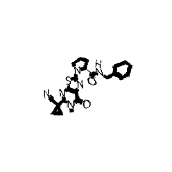 Cn1c(C2(C#N)CC2)nc2sc(N3CCC[C@@H]3C(=O)NCc3ccccc3)nc2c1=O